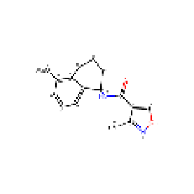 CCCc1nocc1C(=O)NC1CCCc2c(OC)cccc21